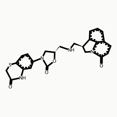 O=C1CSc2ccc(N3C[C@H](CNC[C@@H]4Cn5c(=O)ccc6cccc4c65)OC3=O)cc2N1